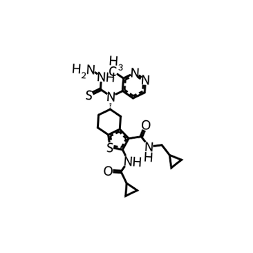 Cc1nnccc1N(C(=S)NN)[C@H]1CCc2sc(NC(=O)C3CC3)c(C(=O)NCC3CC3)c2C1